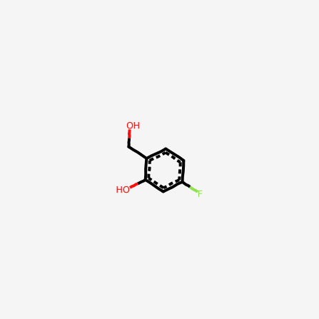 OCc1ccc(F)cc1O